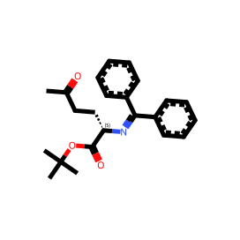 CC(=O)CC[C@H](N=C(c1ccccc1)c1ccccc1)C(=O)OC(C)(C)C